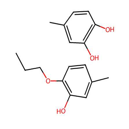 CCCOc1ccc(C)cc1O.Cc1ccc(O)c(O)c1